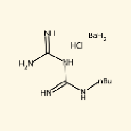 CCCCNC(=N)NC(=N)N.Cl.[BaH2]